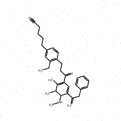 C=C(Cc1ccccc1)C1=CC(C(=O)CCc2ccc(CCCCC#N)cc2CC)=C(C)C(C)C1NN